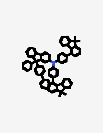 CC1(C)c2ccccc2-c2c(-c3ccc(N(c4ccc(-c5cccc6c5-c5ccccc5C6(C)C)cc4)c4ccc5c(c4)C(c4ccccc4)(c4ccc(-c6ccccc6)cc4)c4ccccc4-5)cc3)cccc21